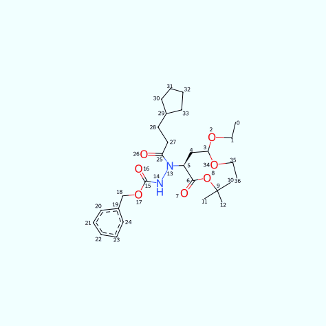 CCOC(C[C@@H](C(=O)OC(C)(C)C)N(NC(=O)OCc1ccccc1)C(=O)CCC1CCCC1)OCC